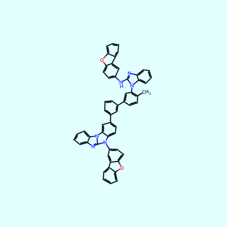 Cc1ccc(-c2cccc(-c3ccc4c(c3)n3c5ccccc5nc3n4-c3ccc4oc5ccccc5c4c3)c2)cc1-n1c(Nc2ccc3oc4ccccc4c3c2)nc2ccccc21